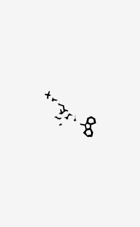 C[C@H]1OC(C)(C)N(C(=O)[C@H](CCCCNC(=O)OC(C)(C)C)NC(=O)OCC2c3ccccc3-c3ccccc32)[C@@H]1C(=O)O